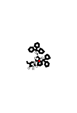 CCc1cn([C@@H]2O[C@H](COC(c3ccccc3)(c3ccccc3)c3ccccc3)[C@@H](OC(c3ccccc3)(c3ccccc3)c3ccccc3)[C@H]2O)c(=O)[nH]c1=O